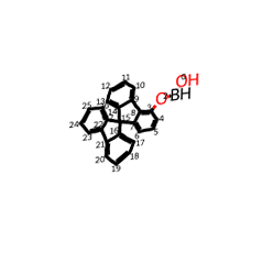 OBOc1cccc2c1-c1ccccc1C21c2ccccc2-c2ccccc21